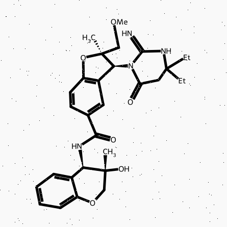 CCC1(CC)CC(=O)N([C@H]2c3cc(C(=O)N[C@@H]4c5ccccc5OC[C@@]4(C)O)ccc3O[C@@]2(C)COC)C(=N)N1